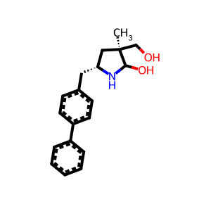 C[C@@]1(CO)C[C@@H](Cc2ccc(-c3ccccc3)cc2)NC1O